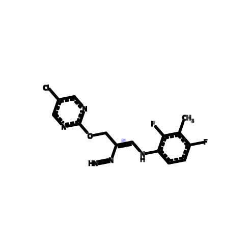 Cc1c(F)ccc(N/C=C(/COc2ncc(Cl)cn2)N=N)c1F